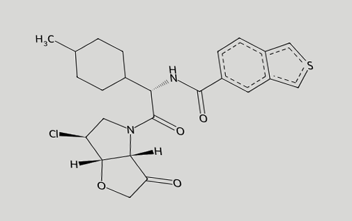 CC1CCC([C@H](NC(=O)c2ccc3cscc3c2)C(=O)N2C[C@H](Cl)[C@H]3OCC(=O)[C@H]32)CC1